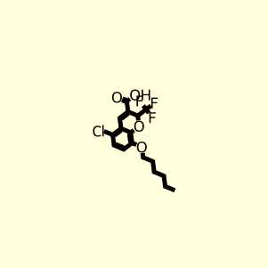 CCCCCCOc1ccc(Cl)c2c1OC(C(F)(F)F)C(C(=O)O)=C2